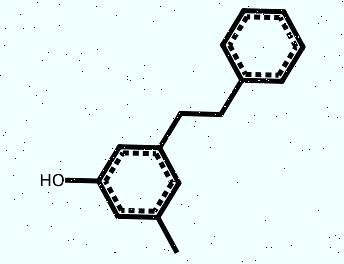 Cc1cc(O)cc(CCc2ccccc2)c1